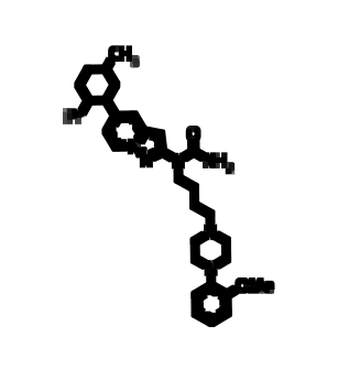 COc1ccccc1N1CCN(CCCCN(C(N)=O)c2cc3cc(C4CC(C)CCC4C(C)C)ccn3n2)CC1